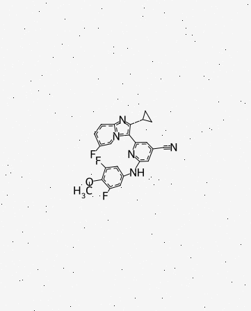 COc1c(F)cc(Nc2cc(C#N)cc(-c3c(C4CC4)nc4ccc(F)cn34)n2)cc1F